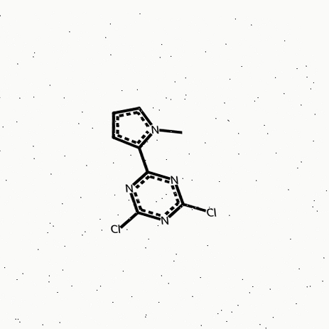 Cn1cccc1-c1nc(Cl)nc(Cl)n1